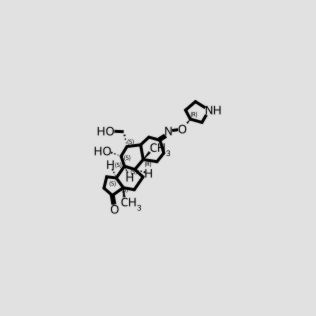 C[C@]12CCC(=NO[C@@H]3CCNC3)CC1[C@@H](CO)[C@@H](O)[C@H]1[C@@H]2CC[C@]2(C)C(=O)CC[C@@H]12